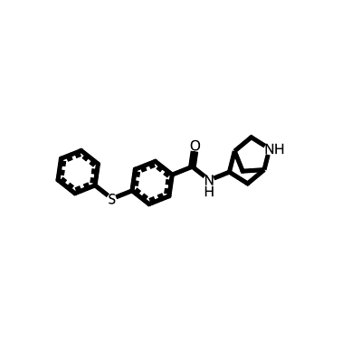 O=C(NC1CC2CC1CN2)c1ccc(Sc2ccccc2)cc1